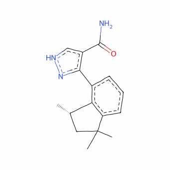 C[C@H]1CC(C)(C)c2cccc(-c3n[nH]cc3C(N)=O)c21